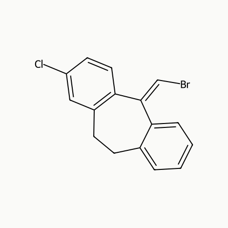 Clc1ccc2c(c1)CCc1ccccc1C2=CBr